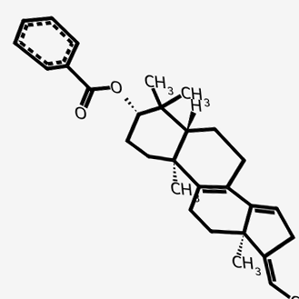 C/C=C1\CC=C2C3=C(CC[C@@]21C)[C@@]1(C)CC[C@H](OC(=O)c2ccccc2)C(C)(C)[C@@H]1CC3